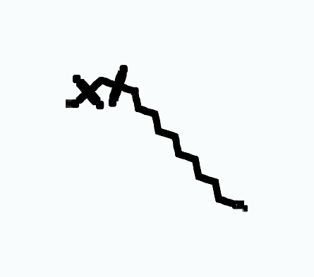 CCCCCCCCCCOS(=O)(=O)CS(=O)(=O)O